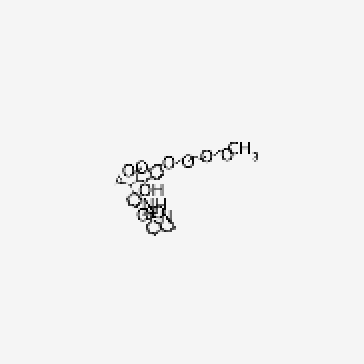 COCCOCCOCCOc1ccc2c(O)c(C(c3cccc(NS(=O)(=O)c4cccc5cccnc45)c3)C3CC3)c(=O)oc2c1